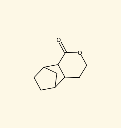 O=C1OCCC2C3CCC(C3)C12